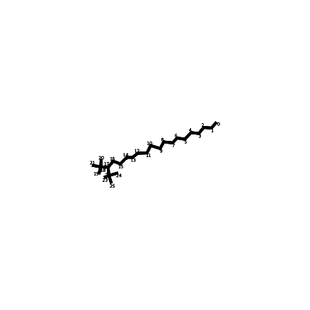 CCCCCCCCCCCCCC[CH]CCC(C(C)(C)C)C(C)(C)C